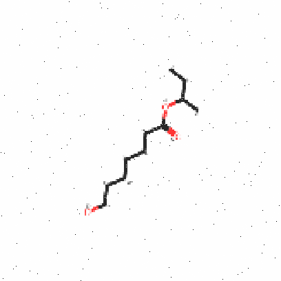 CCC(C)OC(=O)CCCCCC[O]